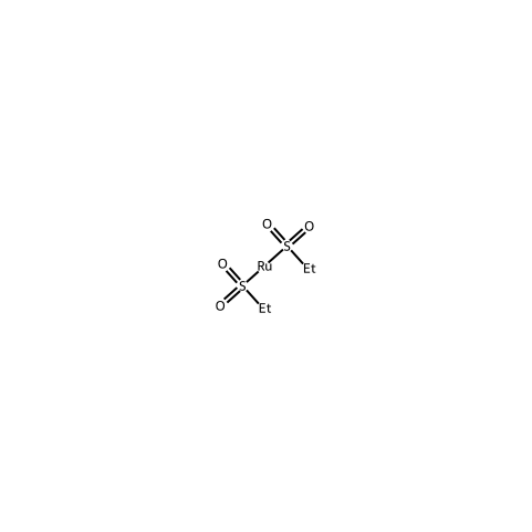 CC[S](=O)(=O)[Ru][S](=O)(=O)CC